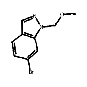 COCn1ncc2ccc(Br)cc21